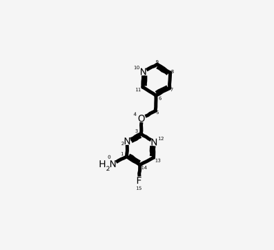 Nc1nc(OCc2cccnc2)ncc1F